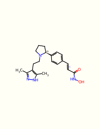 Cc1n[nH]c(C)c1CCN1CCC[C@H]1c1ccc(/C=C/C(=O)NO)cc1